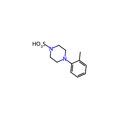 Cc1ccccc1N1CCN(S(=O)(=O)O)CC1